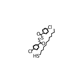 CCCCCCCCCCCCS.O=C(SSC(=O)c1ccc(Cl)cc1)c1ccc(Cl)cc1